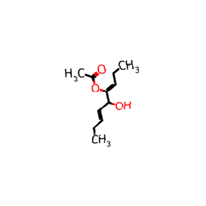 CCC=CC(O)C(=CCC)OC(C)=O